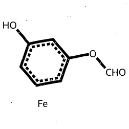 O=COc1cccc(O)c1.[Fe]